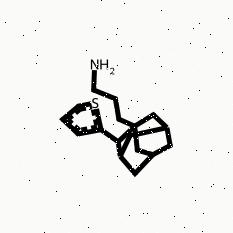 NCCCC12CC3CC(CC(C3)C1c1cccs1)C2